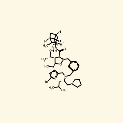 CC(C)C[C@@H](CN1CCCC1)N(Cc1cccc(CN2O[C@@H](CO)[C@@H]([C@H](C)O)[C@H]2C(=O)N[C@H]2C[C@H]3C[C@@H]([C@@H]2C)C3(C)C)c1)Cc1ccc(Br)s1